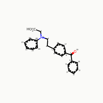 O=C(O)CN(CCc1ccc(C(=O)c2ccccc2)cc1)c1ccccc1